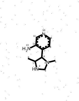 CC1NCN(C)C1c1ccncc1N